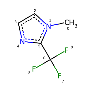 Cn1[c]cnc1C(F)(F)F